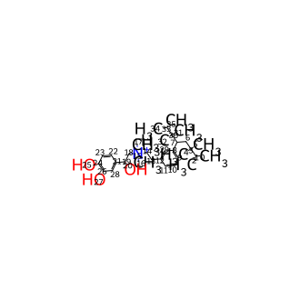 CC(C)C(C)(C)CC(c1cccc(CC[N+](C)(C)CC(O)c2ccc(O)c(O)c2)c1)C(C)(C)C(C)C